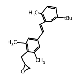 Cc1ccc(C(C)(C)C)cc1C=Cc1cc(C)c(CC2CO2)c(C)c1